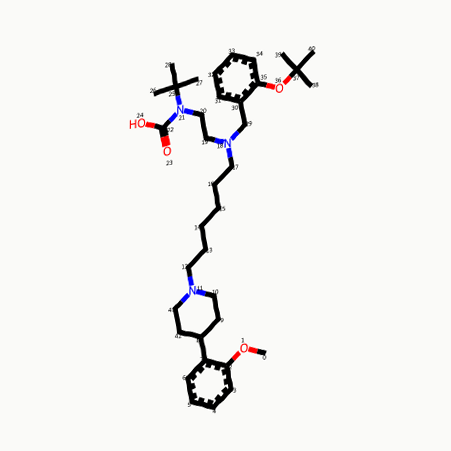 COc1ccccc1C1CCN(CCCCCCN(CCN(C(=O)O)C(C)(C)C)Cc2ccccc2OC(C)(C)C)CC1